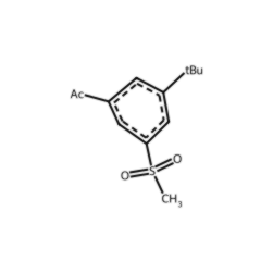 CC(=O)c1cc(C(C)(C)C)cc(S(C)(=O)=O)c1